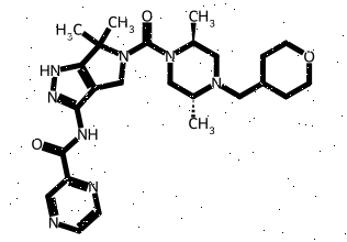 C[C@@H]1CN(C(=O)N2Cc3c(NC(=O)c4cnccn4)n[nH]c3C2(C)C)[C@@H](C)CN1CC1CCOCC1